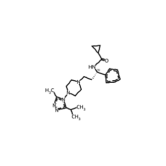 Cc1nnc(C(C)C)n1N1CCN(CC[C@H](NC(=O)C2CC2)c2ccccc2)CC1